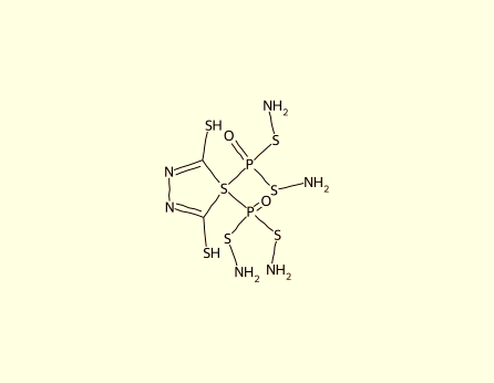 NSP(=O)(SN)S1(P(=O)(SN)SN)C(S)=NN=C1S